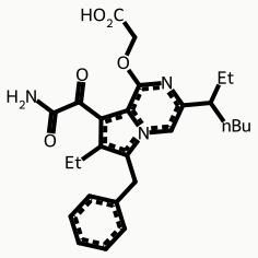 CCCCC(CC)c1cn2c(Cc3ccccc3)c(CC)c(C(=O)C(N)=O)c2c(OCC(=O)O)n1